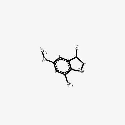 COc1cc(C)c2c(c1)C(Cl)CN2